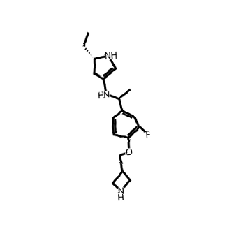 CC[C@H]1CC(NC(C)c2ccc(OCC3CNC3)c(F)c2)=CN1